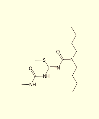 CCCCN(CCCC)C(=O)N=C(NC(=O)NC)SC